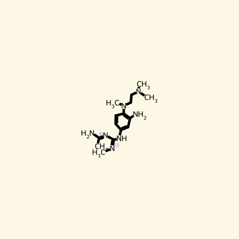 C/N=C(\N=C(/C)N)Nc1ccc(N(C)CCN(C)C)c(N)c1